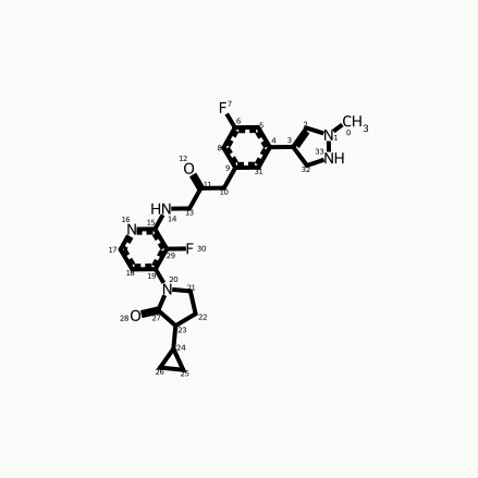 CN1C=C(c2cc(F)cc(CC(=O)CNc3nccc(N4CCC(C5CC5)C4=O)c3F)c2)CN1